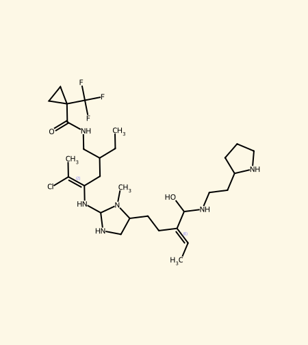 C/C=C(\CCC1CNC(N/C(CC(CC)CNC(=O)C2(C(F)(F)F)CC2)=C(/C)Cl)N1C)C(O)NCCC1CCCN1